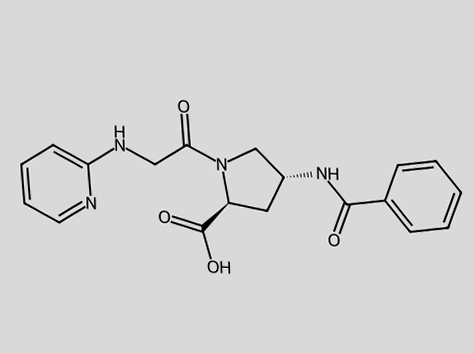 O=C(N[C@@H]1C[C@@H](C(=O)O)N(C(=O)CNc2ccccn2)C1)c1ccccc1